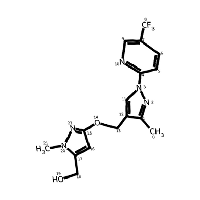 Cc1nn(-c2ccc(C(F)(F)F)cn2)cc1COc1cc(CO)n(C)n1